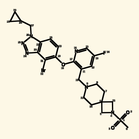 CS(=O)(=O)N1CC2(CCN(Cc3cc(F)cnc3Oc3ccc4c(nnn4CC4CC4)c3Br)CC2)C1